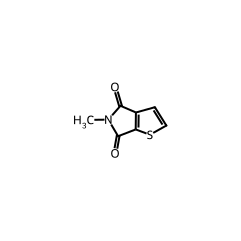 CN1C(=O)c2ccsc2C1=O